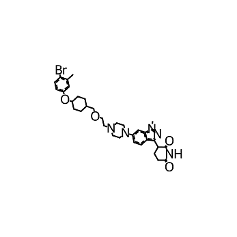 Cc1cc(OC2CCC(COCCN3CCN(c4ccc5c(C6CCC(=O)NC6=O)nn(C)c5c4)CC3)CC2)ccc1Br